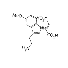 COc1ccc2[nH]cc(CCN)c2c1.O=C(O)C=CC(=O)O